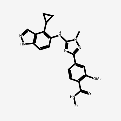 CCNC(=O)c1ccc(-c2nc(Nc3ccc4[nH]ncc4c3C3CC3)n(C)n2)cc1OC